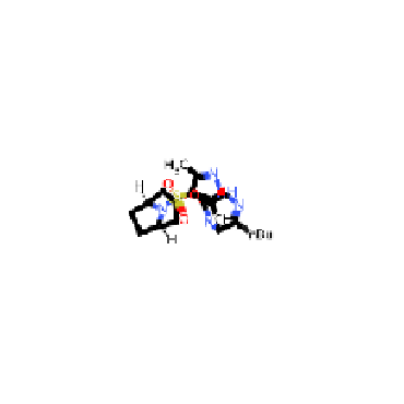 CCCCc1cnc(O[C@@H]2C[C@H]3CC[C@@H](C2)N3S(=O)(=O)c2c(C)n[nH]c2C)cn1